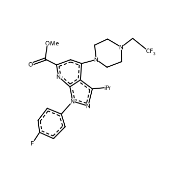 COC(=O)c1cc(N2CCN(CC(F)(F)F)CC2)c2c(C(C)C)nn(-c3ccc(F)cc3)c2n1